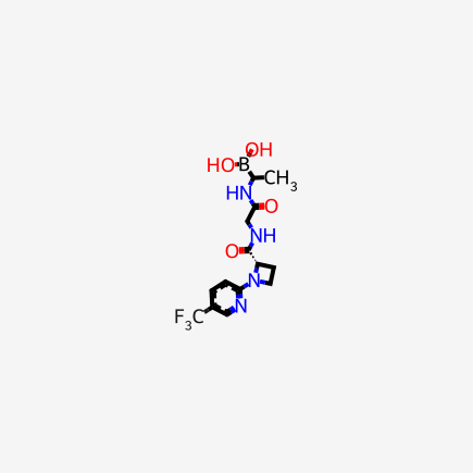 CC(NC(=O)CNC(=O)[C@@H]1CCN1c1ccc(C(F)(F)F)cn1)B(O)O